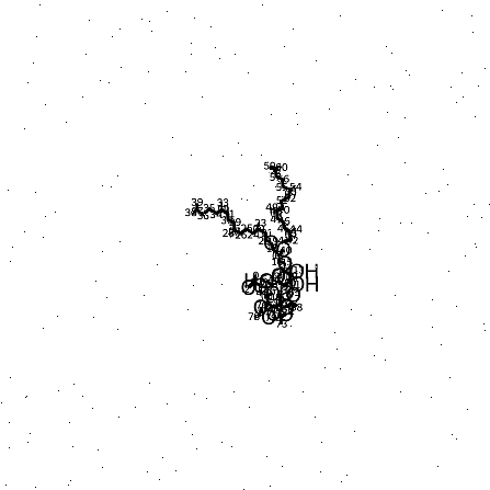 CC(=O)OC[C@H]1O[C@@H](O[C@H]2[C@H](O)[C@@H](O)[C@H](OC[C@@H](COCC[C@H](C)CCC[C@H](C)CCC[C@H](C)CCCC(C)C)OCC[C@H](C)CCC[C@H](C)CCC[C@H](C)CCCC(C)C)O[C@@H]2CO)[C@H](OC(C)=O)[C@@H](OC(C)=O)[C@@H]1OC(C)=O